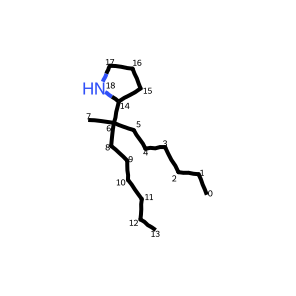 CCCCCCC(C)(CCCCCC)C1CCCN1